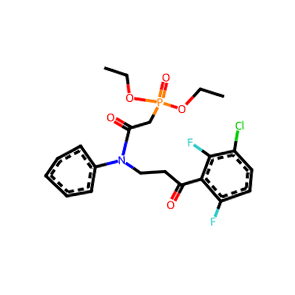 CCOP(=O)(CC(=O)N(CCC(=O)c1c(F)ccc(Cl)c1F)c1ccccc1)OCC